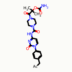 CC(=O)Cc1ccc(-n2ccc(NC(=O)N3CCN(C(=O)C(C)(C)OC(N)=O)CC3)nc2=O)cc1